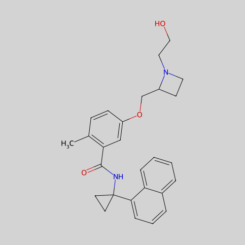 Cc1ccc(OCC2CCN2CCO)cc1C(=O)NC1(c2cccc3ccccc23)CC1